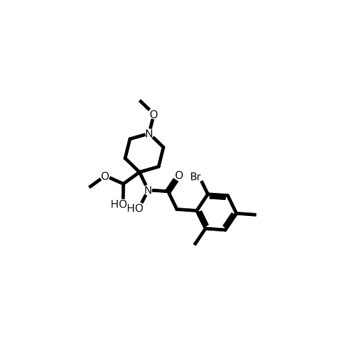 COC(O)C1(N(O)C(=O)Cc2c(C)cc(C)cc2Br)CCN(OC)CC1